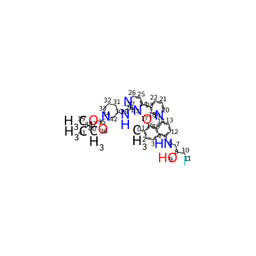 Cc1ccc2c(NCC(O)CF)cccc2c1Oc1ncccc1-c1ccnc(N[C@H]2CCCN(C(=O)OC(C)(C)C)C2)n1